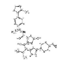 Cc1ncsc1-c1ccc([C@H](C)NC(=O)[C@@H]2CC(=O)CN2C(=O)C(c2cc(N3CCC(C=O)CC3)no2)C(C)C)cc1